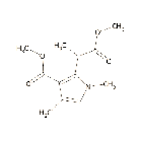 COC(=O)c1c(C)cn(C)c1C(C)C(=O)OC